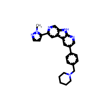 Cn1nccc1-c1cc2c(cn1)[nH]c1ncc(-c3ccc(CN4CCCCC4)cc3)cc12